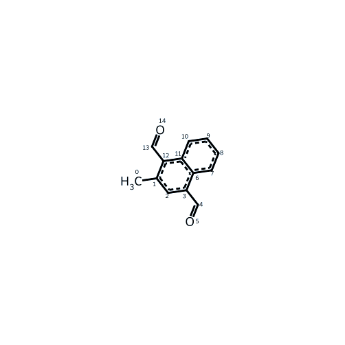 Cc1cc(C=O)c2ccccc2c1C=O